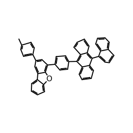 Cc1ccc(-c2cc(-c3ccc(-c4c5ccccc5c(-c5cccc6ccccc56)c5ccccc45)cc3)c3oc4ccccc4c3c2)cc1